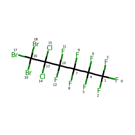 FC(F)(F)C(F)(F)C(F)(F)C(F)(F)C(Cl)(Cl)C(Br)(Br)Br